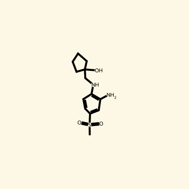 CS(=O)(=O)c1ccc(NCC2(O)CCCC2)c(N)c1